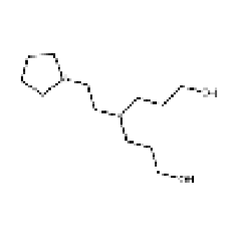 OCCCN(CCCO)CCN1CCCC1